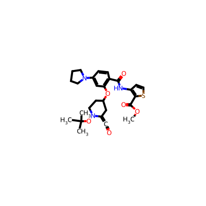 COC(=O)c1sccc1NC(=O)c1ccc(N2CCCC2)cc1OC1CCN(OC(C)(C)C)C(=C=O)C1